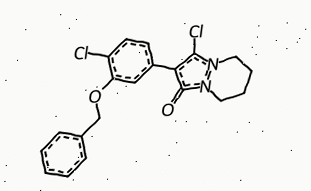 O=c1c(-c2ccc(Cl)c(OCc3ccccc3)c2)c(Cl)n2n1CCCC2